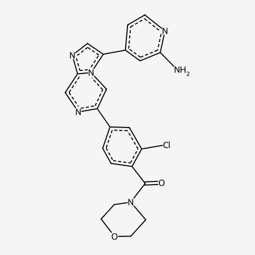 Nc1cc(-c2cnc3cnc(-c4ccc(C(=O)N5CCOCC5)c(Cl)c4)cn23)ccn1